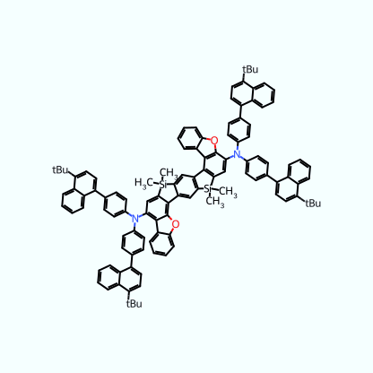 CC(C)(C)c1ccc(-c2ccc(N(c3ccc(-c4ccc(C(C)(C)C)c5ccccc45)cc3)c3cc4c(c5c3oc3ccccc35)-c3cc5c(cc3[Si]4(C)C)-c3c(cc(N(c4ccc(-c6ccc(C(C)(C)C)c7ccccc67)cc4)c4ccc(-c6ccc(C(C)(C)C)c7ccccc67)cc4)c4c3oc3ccccc34)[Si]5(C)C)cc2)c2ccccc12